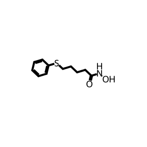 O=C(CCCCSc1ccccc1)NO